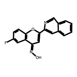 O/N=c1\cc(-c2cc3ccccc3cn2)oc2ccc(F)cc12